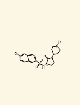 CCN1CCC(N2CC[C@H](NS(=O)(=O)c3ccc4cc(Cl)ccc4c3)C2=O)CC1